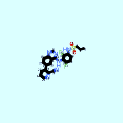 CCCS(=O)(=O)Nc1ccc(F)c(Nc2ncnc3ccc(-c4cccnc4C#N)cc23)c1F